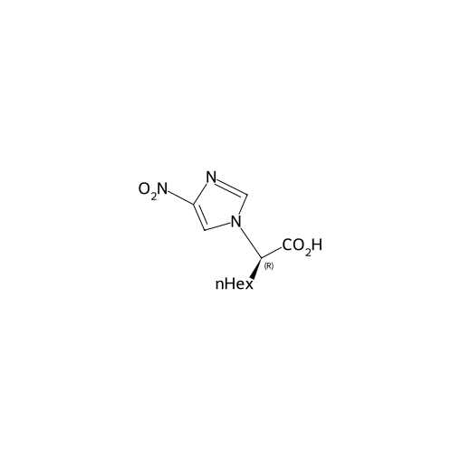 CCCCCC[C@H](C(=O)O)n1cnc([N+](=O)[O-])c1